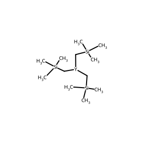 C[Si](C)(C)[CH2][Y]([CH2][Si](C)(C)C)[CH2][Si](C)(C)C